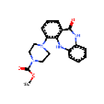 CC(C)(C)OC(=O)N1CCN(c2cccc3c2Nc2ccccc2NC3=O)CC1